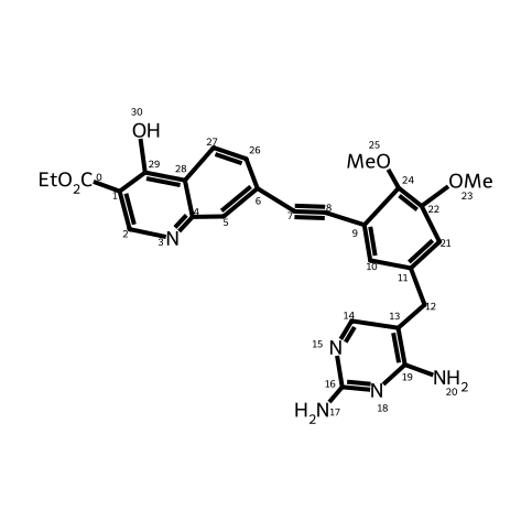 CCOC(=O)c1cnc2cc(C#Cc3cc(Cc4cnc(N)nc4N)cc(OC)c3OC)ccc2c1O